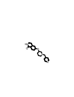 O=c1[nH]ccc2cc(OC3CCCN(Cc4ccncc4)C3)ccc12